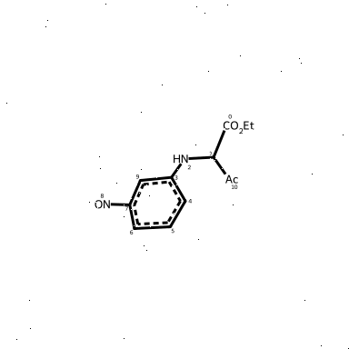 CCOC(=O)C(Nc1cccc(N=O)c1)C(C)=O